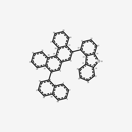 c1ccc2c(-c3cc4cc(-c5cccc6oc7ccccc7c56)c5ccccc5c4c4ccccc34)cccc2c1